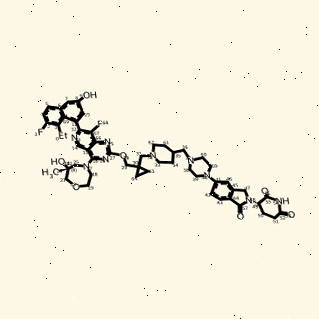 CCc1c(F)ccc2cc(O)cc(-c3ncc4c(N5CCOC[C@](C)(O)C5)nc(OCC5(CN6CCC(CN7CCN(c8ccc9c(c8)CN([C@H]8CCC(=O)NC8=O)C9=O)CC7)CC6)CC5)nc4c3F)c12